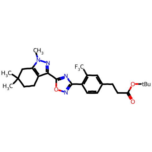 Cn1nc(-c2nc(-c3ccc(CCC(=O)OC(C)(C)C)cc3C(F)(F)F)no2)c2c1CC(C)(C)CC2